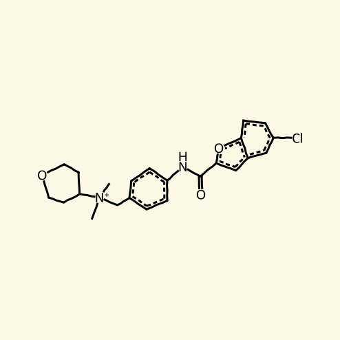 C[N+](C)(Cc1ccc(NC(=O)c2cc3cc(Cl)ccc3o2)cc1)C1CCOCC1